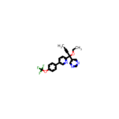 CC#CC(OCC)(c1cncnc1)c1ccc(-c2ccc(OC(F)(F)F)cc2)cn1